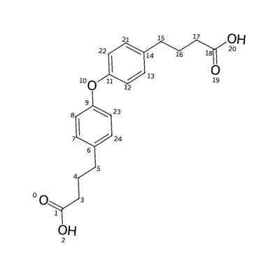 O=C(O)CCCc1ccc(Oc2ccc(CCCC(=O)O)cc2)cc1